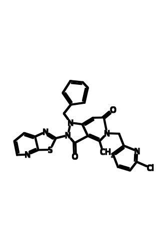 Cc1c2c(=O)n(-c3nc4cccnc4s3)n(Cc3ccccc3)c2cc(=O)n1Cc1cccc(Cl)n1